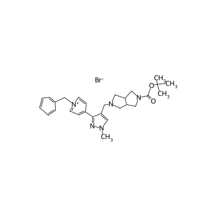 Cn1cc(CN2CC3CN(C(=O)OC(C)(C)C)CC3C2)c(-c2cc[n+](Cc3ccccc3)cc2)n1.[Br-]